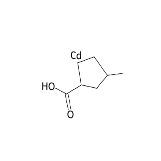 CC1CCC(C(=O)O)C1.[Cd]